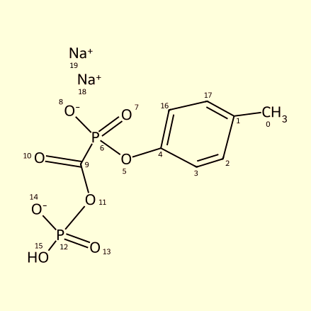 Cc1ccc(OP(=O)([O-])C(=O)OP(=O)([O-])O)cc1.[Na+].[Na+]